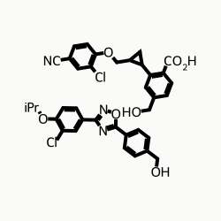 CC(C)Oc1ccc(-c2noc(-c3ccc(CO)cc3)n2)cc1Cl.N#Cc1ccc(OCC2CC2c2cc(CO)ccc2C(=O)O)c(Cl)c1